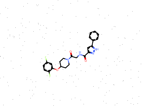 O=C(NCC(=O)N1CCC(Oc2cc(F)ccc2F)CC1)c1cc(-c2ccccc2)[nH]n1